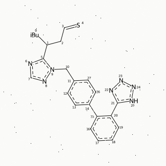 CCC(C)C(CC=S)c1ncnn1Cc1ccc(-c2ccccc2-c2nnn[nH]2)cc1